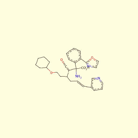 NC(C(=O)O)(C(=C=O)C(CC=Cc1cccnc1)CCOC1CCCCC1)c1ccccc1-c1ncco1